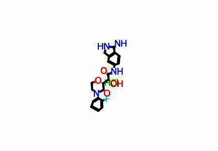 Cl.N=C1NCc2cc(NC(=O)[C@H](O)[C@H]3OCCN(c4ccccc4F)C3=O)ccc21